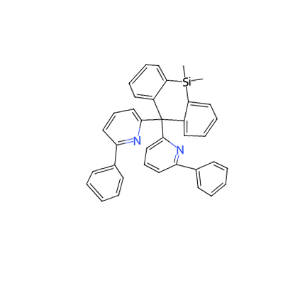 C[Si]1(C)c2ccccc2C(c2cccc(-c3ccccc3)n2)(c2cccc(-c3ccccc3)n2)c2ccccc21